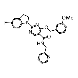 COc1cccc(COc2nc(N3CCc4cc(F)ccc43)ncc2C(=O)NCc2ccccn2)c1